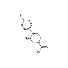 Fc1ccc(N2CCN(C(=S)S)CC2)cc1.[NaH]